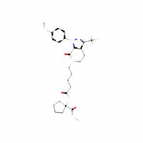 COC(=O)C1(NC(=O)CCCCN2CCc3c(C(F)(F)F)nn(-c4ccc(OC)cc4)c3C2=O)CCCC1